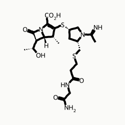 CC(=N)N1C[C@@H](SC2=C(C(=O)O)N3C(=O)[C@H]([C@@H](C)O)[C@H]3[C@H]2C)C[C@H]1CSCCC(=O)NCC(N)=O